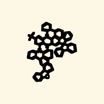 CC(C)(C)c1cc2c3c(c1)N(c1ccccc1-c1ccccc1)c1cc4c(cc1B3c1ccc(-c3ccc5oc6ccccc6c5c3)cc1N2c1ccccc1-c1ccccc1)C1(c2ccccc2-c2ccccc21)c1ccccc1-4